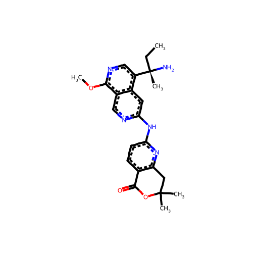 CC[C@](C)(N)c1cnc(OC)c2cnc(Nc3ccc4c(n3)CC(C)(C)OC4=O)cc12